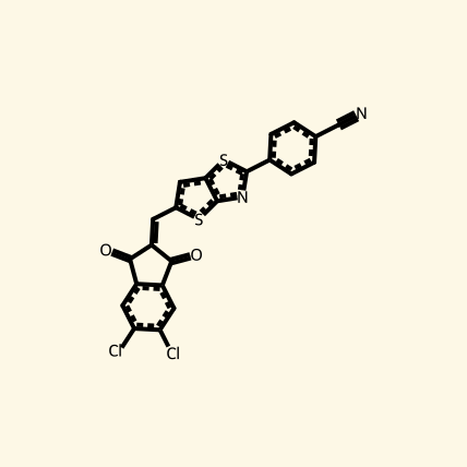 N#Cc1ccc(-c2nc3sc(C=C4C(=O)c5cc(Cl)c(Cl)cc5C4=O)cc3s2)cc1